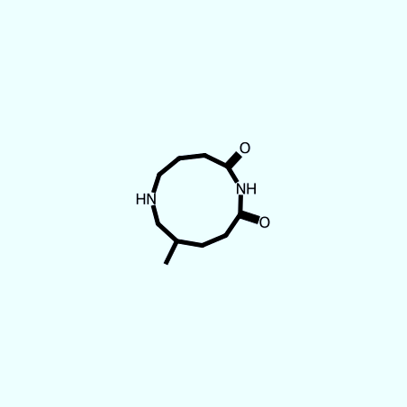 CC1CCC(=O)NC(=O)CCCNC1